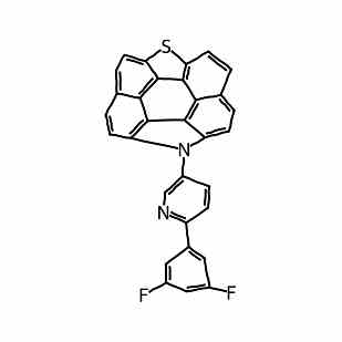 Fc1cc(F)cc(-c2ccc(-n3c4ccc5ccc6sc7ccc8ccc3c3c8c7c6c5c34)cn2)c1